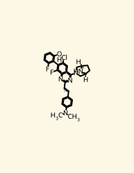 CN(C)c1ccc(/C=C/c2nc(N3C[C@H]4CC[C@@H](C3)N4)c3cc(Cl)c(-c4c(O)cccc4F)c(F)c3n2)cc1